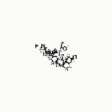 C=C[C@@H](OC)[C@@H]1CC[C@H]1CN1C[C@@]2(CCCc3cc(Cl)ccc32)COc2ccc(S(=O)(=O)NC(=O)C(C)(C)N)cc21